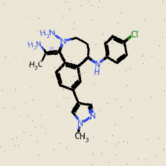 C/C(N)=C1\c2ccc(-c3cnn(C)c3)cc2C(Nc2ccc(Cl)cc2)CCN1N